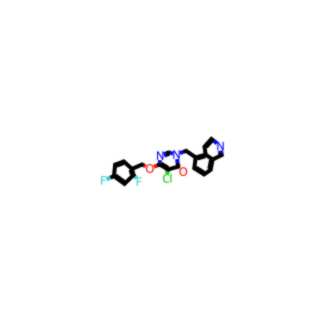 O=c1c(Cl)c(OCc2ccc(F)cc2F)ncn1Cc1cccc2cnccc12